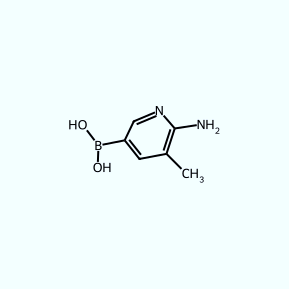 Cc1cc(B(O)O)cnc1N